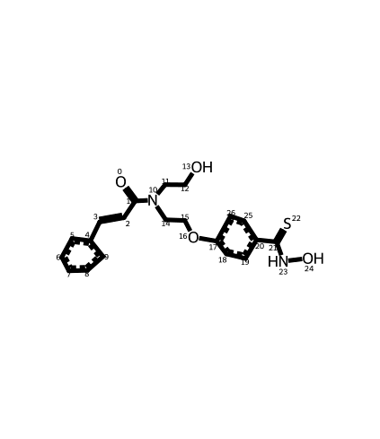 O=C(/C=C/c1ccccc1)N(CCO)CCOc1ccc(C(=S)NO)cc1